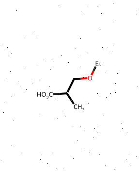 CCOCC(C)C(=O)O